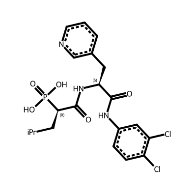 CC(C)C[C@H](C(=O)N[C@@H](Cc1cccnc1)C(=O)Nc1ccc(Cl)c(Cl)c1)P(=O)(O)O